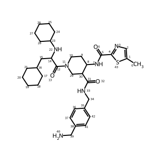 Cc1cnc(C(=O)NC2CCN(C(=O)C(CC3CCCCC3)NC3CCCCC3)CC2C(=O)NCc2ccc(CN)cc2)s1